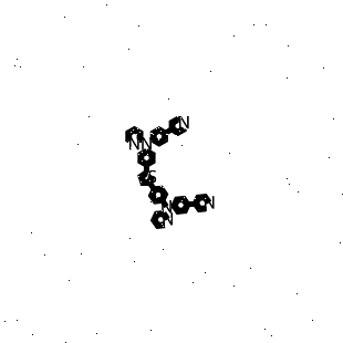 c1ccc(N(c2ccc(-c3ccncc3)cc2)c2ccc(-c3ccc(-c4ccc(N(c5ccc(-c6ccncc6)cc5)c5ccccn5)cc4)s3)cc2)nc1